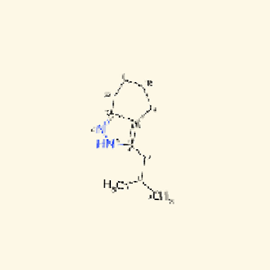 CC(C)Cc1[nH]nc2c1CCCC2